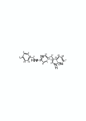 Cc1ccc(CNc2ccc(Cc3c[nH]c4ncccc34)cn2)cc1